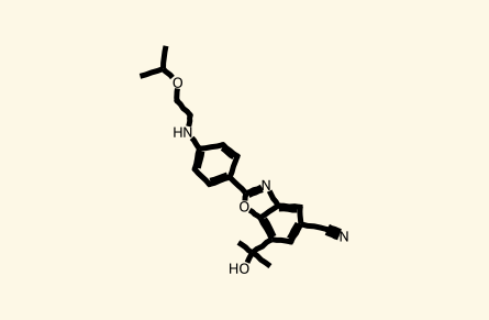 CC(C)OCCNc1ccc(-c2nc3cc(C#N)cc(C(C)(C)O)c3o2)cc1